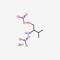 CC(C)C(N)CO.O=[N+]([O-])[O-].O=[N+]([O-])[O-].[Zn+2]